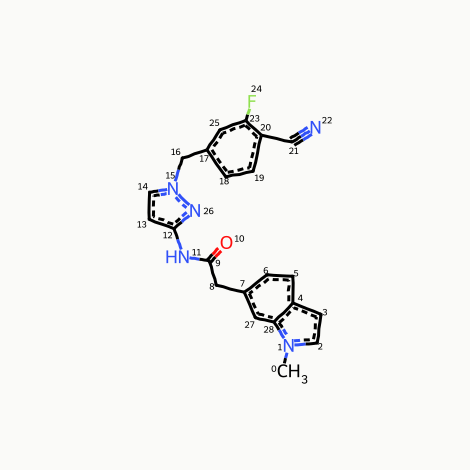 Cn1ccc2ccc(CC(=O)Nc3ccn(Cc4ccc(C#N)c(F)c4)n3)cc21